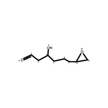 O=[C]CC(O)CCCC1CO1